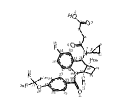 O=C(O)CCC(=O)N(C1CC1)[C@@H]1c2cc(F)ccc2N(C(=O)c2ccc(OC(F)(F)F)cc2)[C@@H]2CC[C@@H]21